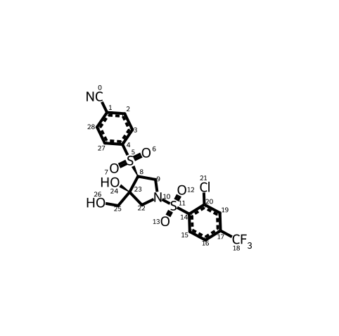 N#Cc1ccc(S(=O)(=O)[C@H]2CN(S(=O)(=O)c3ccc(C(F)(F)F)cc3Cl)C[C@]2(O)CO)cc1